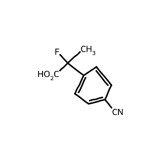 CC(F)(C(=O)O)c1ccc(C#N)cc1